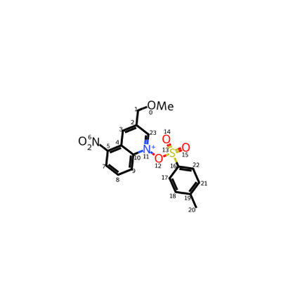 COCc1cc2c([N+](=O)[O-])cccc2[n+](OS(=O)(=O)c2ccc(C)cc2)c1